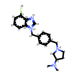 CN(C)C1CCN(Cc2ccc(Cn3cnc4c(F)cccc43)cc2)C1